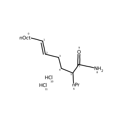 CCCCCCCCC=CCCC(CCC)C(N)=O.Cl.Cl